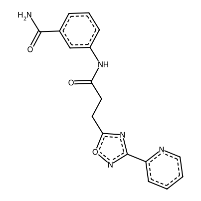 NC(=O)c1cccc(NC(=O)CCc2nc(-c3ccccn3)no2)c1